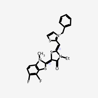 CCn1c(=O)/c(=C2\Sc3c(ccc(F)c3F)N2C)s/c1=C\c1scc[n+]1Cc1ccccc1